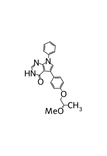 CO[C@H](C)COc1ccc(-c2cn(-c3ccccc3)c3nc[nH]c(=O)c23)cc1